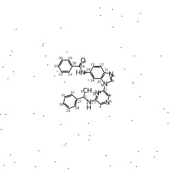 CC(Nc1cncc(-n2cnc3ccc(NC(=O)c4ccccc4)cc32)n1)c1ccccc1